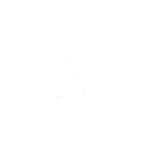 CSN1CCN(C(=O)c2cnc3ccccc3c2N2CCC(C#N)(c3ccc(C)cc3)CC2)CC1